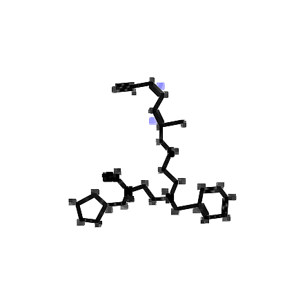 C#C/C=C\C=C(/C)CSCCN(CCN(CC1CCCC1)C(C)(C)C)Cc1ccccc1